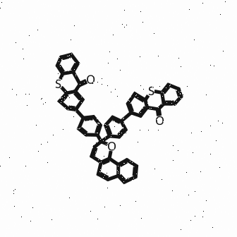 O=c1c2ccccc2sc2ccc(-c3ccc(C4(c5ccc(-c6ccc7sc8ccccc8c(=O)c7c6)cc5)C=Cc5ccc6ccccc6c5O4)cc3)cc12